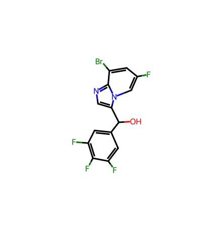 OC(c1cc(F)c(F)c(F)c1)c1cnc2c(Br)cc(F)cn12